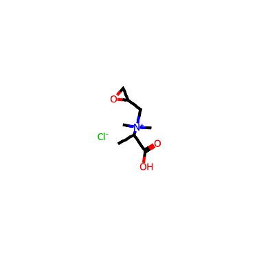 CC(C(=O)O)[N+](C)(C)CC1CO1.[Cl-]